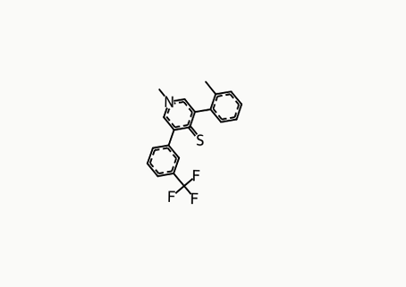 Cc1ccccc1-c1cn(C)cc(-c2cccc(C(F)(F)F)c2)c1=S